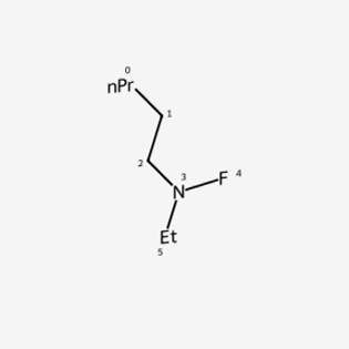 CCCCCN(F)CC